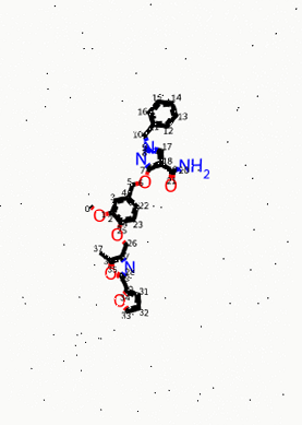 COc1cc(COc2nn(Cc3ccccc3)cc2C(N)=O)ccc1OCc1nc(-c2ccco2)oc1C